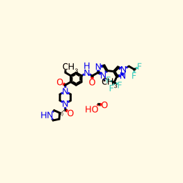 CCc1cc(NC(=O)c2ncc(-c3cn(CC(F)F)nc3C(F)(F)F)n2C)ccc1C(=O)N1CCN(C(=O)[C@@H]2CCNC2)CC1.O=CO